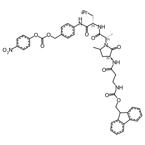 CC(C)C[C@H](NC(=O)[C@H](C)N1C(=O)[C@@H](NC(=O)CCNC(=O)OCC2c3ccccc3-c3ccccc32)CC1C)C(=O)Nc1ccc(COC(=O)Oc2ccc([N+](=O)[O-])cc2)cc1